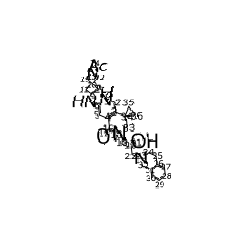 [2H]N1CC2=C(C=C1NC1CC3(C1)CN(C(C)=O)C3)C(=O)N(C[C@H](O)CN1CCc3ccccc3C1)CC21CC1